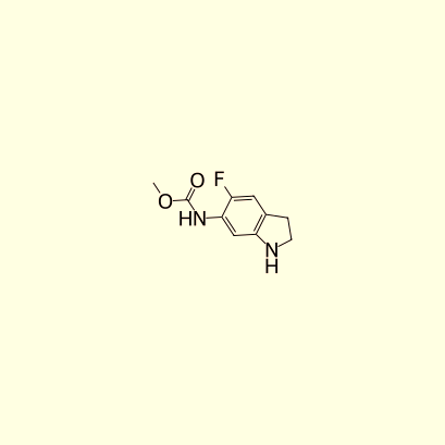 COC(=O)Nc1cc2c(cc1F)CCN2